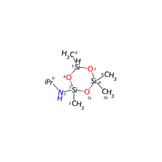 CC(C)N[Si]1(C)O[SiH](C)O[Si](C)(C)O1